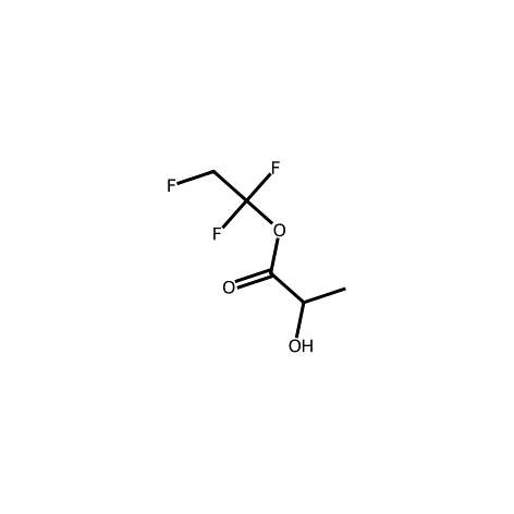 CC(O)C(=O)OC(F)(F)CF